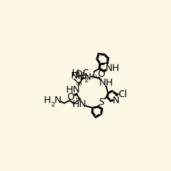 CN1C(=O)[C@H](CN)NC(=O)[C@H](CCCN)NCc2ccccc2Sc2cnc(Cl)cc2CNC(=O)[C@@H]1Cc1c[nH]c2ccccc12